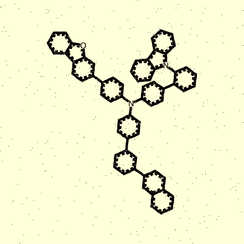 c1cc(-c2ccc(N(c3ccc(-c4ccc5c(c4)oc4ccccc45)cc3)c3ccc(-c4ccccc4-n4c5ccccc5c5ccccc54)cc3)cc2)cc(-c2ccc3ccccc3c2)c1